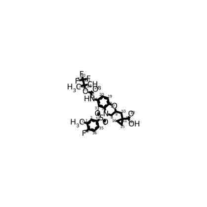 Cc1cc(S(=O)(=O)N2CC(CC3(C(=O)O)CC3)Oc3ccc(NC(=O)OC(C)(C)C(F)(F)F)cc32)ccc1F